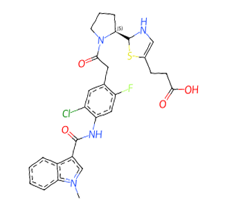 Cn1cc(C(=O)Nc2cc(F)c(CC(=O)N3CCC[C@H]3C3NC=C(CCC(=O)O)S3)cc2Cl)c2ccccc21